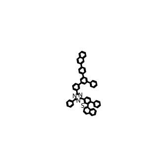 c1ccc(-c2cc(-c3ccc(-c4ccc5ccccc5c4)cc3)cc(-c3cccc(-c4nc(-c5ccccc5)nc(-c5ccc(-c6ccccc6)c6c5sc5ccc7ccccc7c56)n4)c3)c2)cc1